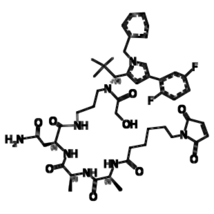 C[C@H](NC(=O)CCCCCN1C(=O)C=CC1=O)C(=O)N[C@@H](C)C(=O)N[C@@H](CC(N)=O)C(=O)NCCCN(C(=O)CO)[C@@H](c1cc(-c2cc(F)ccc2F)cn1Cc1ccccc1)C(C)(C)C